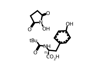 CC(C)(C)C(=O)N[C@@H](Cc1ccc(O)cc1)C(=O)O.O=C1CCC(=O)N1O